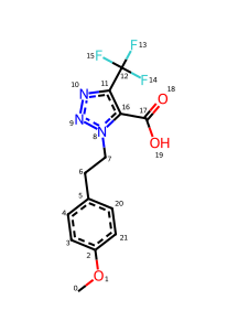 COc1ccc(CCn2nnc(C(F)(F)F)c2C(=O)O)cc1